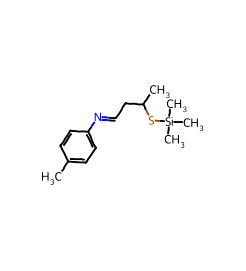 Cc1ccc(N=CCC(C)S[Si](C)(C)C)cc1